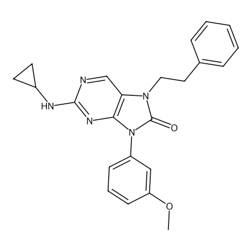 COc1cccc(-n2c(=O)n(CCc3ccccc3)c3cnc(NC4CC4)nc32)c1